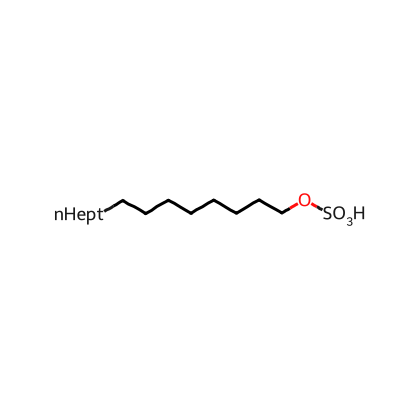 CCCCCCCCCCCCCCCOS(=O)(=O)O